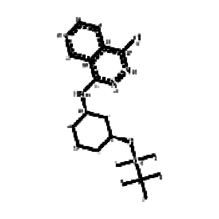 CC(C)(C)[Si](C)(C)O[C@H]1CCC[C@@H](Nc2nnc(Cl)c3ccncc23)C1